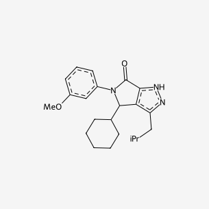 COc1cccc(N2C(=O)c3[nH]nc(CC(C)C)c3C2C2CCCCC2)c1